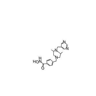 CC1CN(Cc2ccc(C(=O)NO)cc2)CC(C)N1Cc1cncnc1